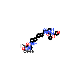 COC(=O)N[C@@H](C(C)C)C(O)N1CCC[C@H]1c1nc2c([nH]1)-c1ccc(-c3ccc4cc(-c5cnc([C@@H]6CCCN6C(=O)[C@H](NC(=O)C6CCOCC6)c6ccccc6)[nH]5)ccc4c3)cc1CC2